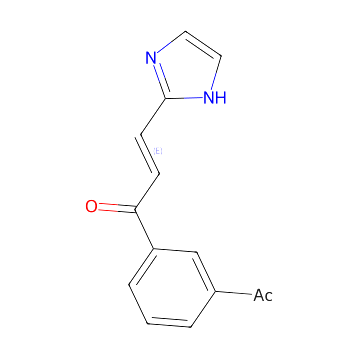 CC(=O)c1cccc(C(=O)/C=C/c2ncc[nH]2)c1